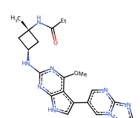 CCC(=O)N[C@]1(C)C[C@@H](Nc2nc(OC)c3c(-c4cnc5nccn5c4)c[nH]c3n2)C1